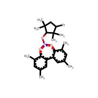 CCC1CC(C)(C)C(Op2oc3c(C)cc(C)cc3c3cc(C)cc(C)c3o2)C1(C)C